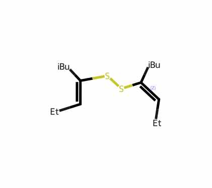 CCC=C(SS/C(=C\CC)C(C)CC)C(C)CC